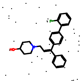 OC1CCN(CC=C(c2ccccc2)c2ccc(-c3ccccc3F)cc2)CC1